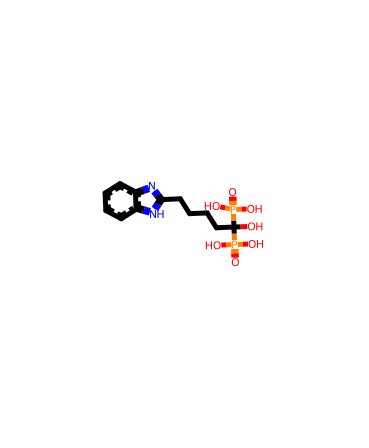 O=P(O)(O)C(O)(CCCCc1nc2ccccc2[nH]1)P(=O)(O)O